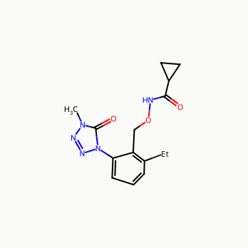 CCc1cccc(-n2nnn(C)c2=O)c1CONC(=O)C1CC1